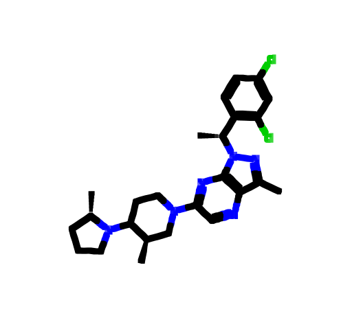 Cc1nn([C@H](C)c2ccc(Cl)cc2Cl)c2nc(N3CCC(N4CCC[C@@H]4C)[C@H](C)C3)cnc12